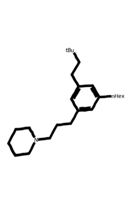 CCCCCCc1cc(CCCN2CCCCC2)cc(CCC(C)(C)C)c1